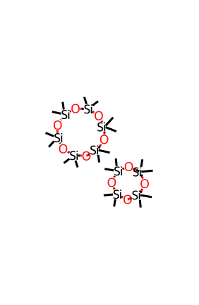 C[Si]1(C)O[Si](C)(C)O[Si](C)(C)O[Si](C)(C)O1.C[Si]1(C)O[Si](C)(C)O[Si](C)(C)O[Si](C)(C)O[Si](C)(C)O[Si](C)(C)O1